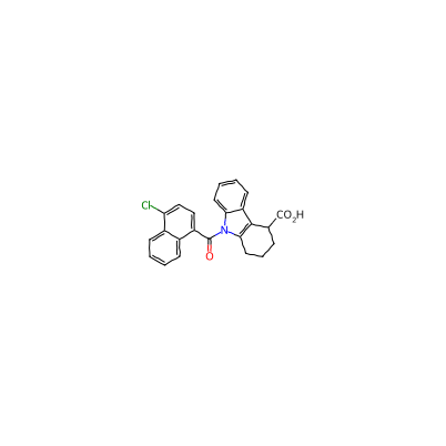 O=C(O)C1CCCc2c1c1ccccc1n2C(=O)c1ccc(Cl)c2ccccc12